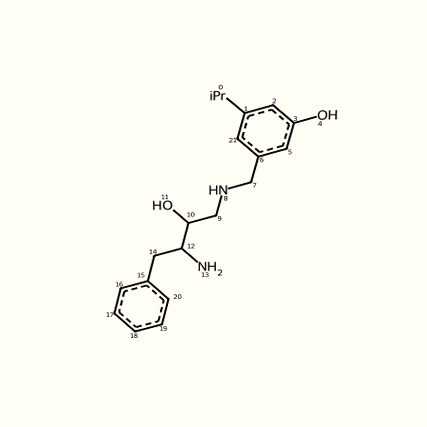 CC(C)c1cc(O)cc(CNCC(O)C(N)Cc2ccccc2)c1